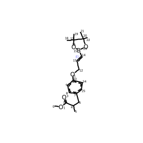 COC(=O)C(C)Cc1ccc(OC/C=C/B2OC(C)(C)C(C)(C)O2)cc1